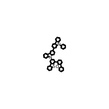 c1ccc(-n2c3ccccc3c3ccc(-c4ccc5c(c4)c4ccccc4n5-c4cc(-c5cccc6c5oc5ccccc56)c5sc6ccccc6c5c4)cc32)cc1